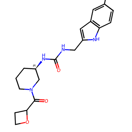 Nc1ccc2[nH]c(CNC(=O)N[C@@H]3CCCN(C(=O)C4CCO4)C3)cc2c1